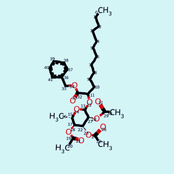 CCCCCCCCCCCC(OC1O[C@@H](C)[C@H](OC(C)=O)[C@@H](OC(C)=O)[C@H]1OC(C)=O)C(=O)OCc1ccccc1